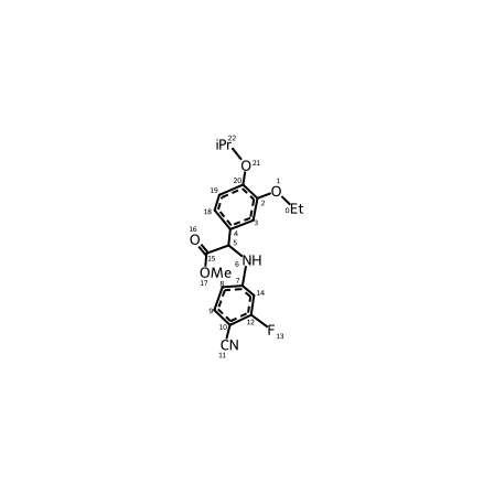 CCOc1cc(C(Nc2ccc(C#N)c(F)c2)C(=O)OC)ccc1OC(C)C